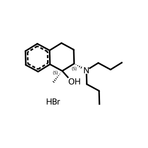 Br.CCCN(CCC)[C@H]1CCc2ccccc2[C@]1(C)O